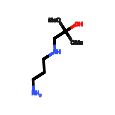 COC(O)(CNCCCN)OC